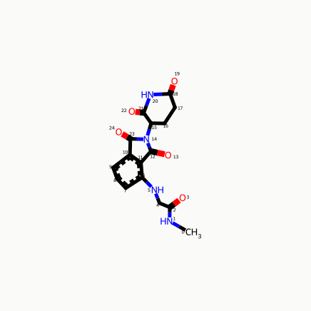 CNC(=O)CNc1cccc2c1C(=O)N(C1CCC(=O)NC1=O)C2=O